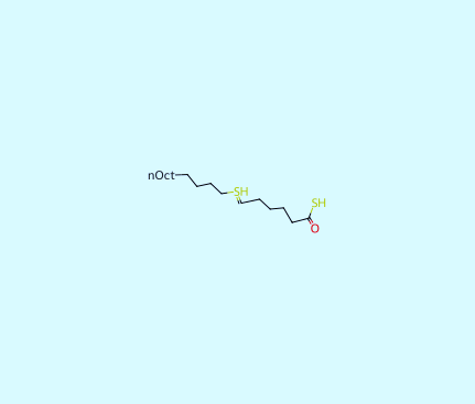 CCCCCCCCCCCC[SH]=CCCCCC(=O)S